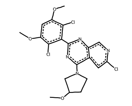 COc1cc(OC)c(Cl)c(-c2nc(N3CCC(OC)C3)c3cc(Cl)ncc3n2)c1Cl